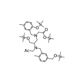 CC(=O)CN(Cc1cc(CO[Si](C)(C)C)ccc1C)C(CO[Si](C)(C)C)CN(CC(=O)O[Si](C)(C)C)Cc1cc(C)ccc1O[Si](C)(C)C